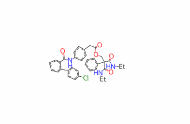 CCNC(=O)C(COC(=O)Cc1ccc(NC(=O)c2ccccc2-c2ccc(Cl)cc2)cc1)(C(=O)NCC)c1ccccc1